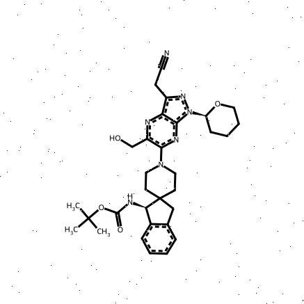 CC(C)(C)OC(=O)N[C@@H]1c2ccccc2CC12CCN(c1nc3c(nc1CO)c(CC#N)nn3[C@@H]1CCCCO1)CC2